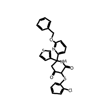 O=C1CC(c2ccsc2)(c2cccc(OCc3ccccc3)n2)NC(=O)C1Sc1ccccc1Cl